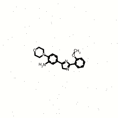 COc1ccccc1C1=NCC(c2ccc(N3CCOCC3)c(N)c2)=N1